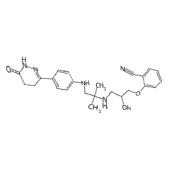 CC(C)(CNc1ccc(C2=NNC(=O)CC2)cc1)NCC(O)COc1ccccc1C#N